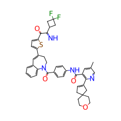 Cc1cnc(C2=CCC3(CCOCC3)C2)c(C(=O)Nc2ccc(C(=O)N3CCC(c4ccc(C(=O)C(=N)C5CC(F)(F)C5)s4)=Cc4ccccc43)cc2)c1